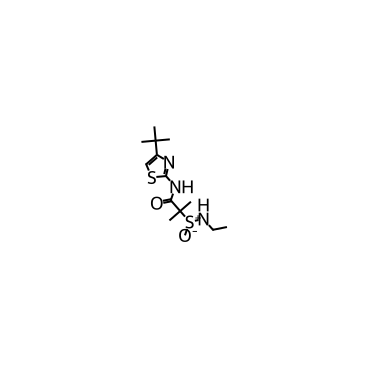 CCN[S+]([O-])C(C)(C)C(=O)Nc1nc(C(C)(C)C)cs1